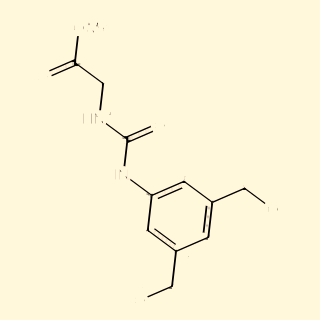 COC(=O)CNC(=O)Nc1cc(CO)cc(CO)c1